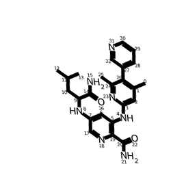 Cc1cc(Nc2cc(NC(CC(C)C)C(N)=O)cnc2C(N)=O)nc(C)c1-c1cccnc1